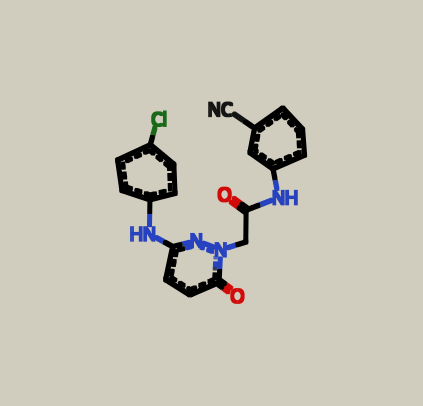 N#Cc1cccc(NC(=O)Cn2nc(Nc3ccc(Cl)cc3)ccc2=O)c1